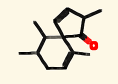 CC1=CCC(C)C(C)C12C=CC(C)C2=O